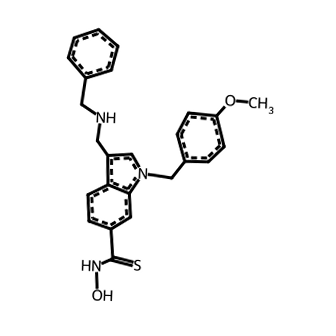 COc1ccc(Cn2cc(CNCc3ccccc3)c3ccc(C(=S)NO)cc32)cc1